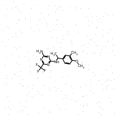 COc1ccc(C(C)Nc2nc(N)nc(C(F)(F)F)n2)cc1C